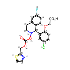 O=C(O)COc1ccc(Cl)cc1[C@@H]1c2ccc(F)cc2CCN1OC(=O)OCc1nccs1